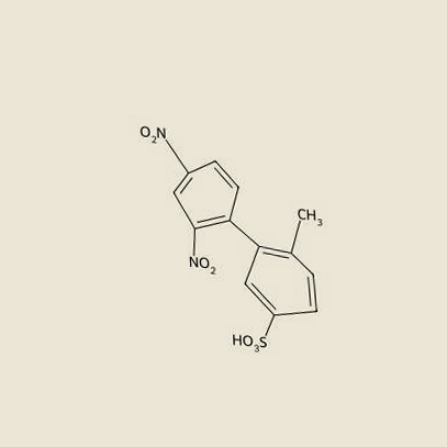 Cc1ccc(S(=O)(=O)O)cc1-c1ccc([N+](=O)[O-])cc1[N+](=O)[O-]